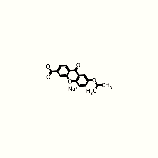 CC(C)Oc1ccc2oc3cc(C(=O)[O-])ccc3c(=O)c2c1.[Na+]